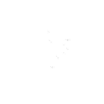 C=CC(=O)NC1CN(c2cnc3[nH]cc(-c4cnccn4)c3c2)C1